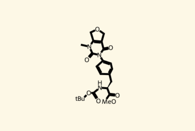 COC(=O)[C@H](Cc1ccc(-n2c(=O)c3c(n(C)c2=O)COC3)cc1)NC(=O)OC(C)(C)C